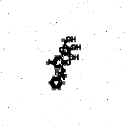 O=C1N(CC(F)(F)c2ccccc2)CC(I)=CN1[C@@H]1O[C@H](CO)[C@H](O)[C@@H]1O